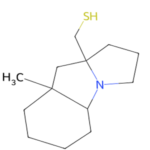 CC12CCCCC1N1CCCC1(CS)C2